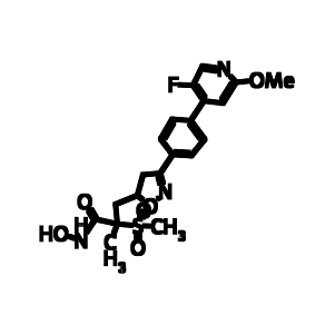 COc1cc(-c2ccc(C3=NOC(CC(C)(C(=O)NO)S(C)(=O)=O)C3)cc2)c(F)cn1